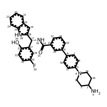 NC1CCN(c2ccc(-c3cccc(C(=O)N[C@@H](c4cc5ccccc5[nH]4)c4cc(F)ccc4O)c3)cc2)CC1